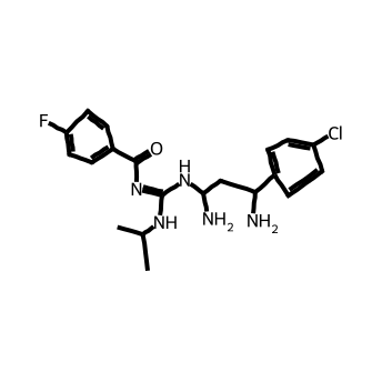 CC(C)N/C(=N/C(=O)c1ccc(F)cc1)NC(N)CC(N)c1ccc(Cl)cc1